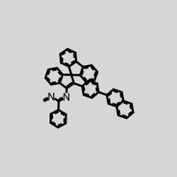 C=N/C(=N\C1=C(c2ccc(-c3ccc4ccccc4c3)cc2)C2(c3ccccc31)c1ccccc1-c1ccccc12)c1ccccc1